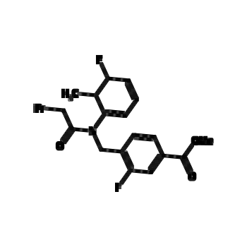 COC(=O)c1ccc(CN(C(=O)CC(C)C)C2=CC=CC(F)C2C)c(F)c1